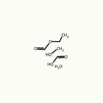 CCOC=O.CO.O.O=CO